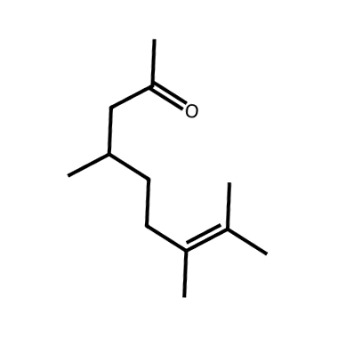 CC(=O)CC(C)CCC(C)=C(C)C